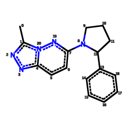 Cc1nnc2ccc(N3CCCC3c3ccccc3)nn12